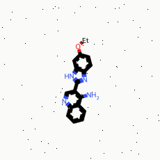 CCOc1ccc2nc(-c3cnc4ccccc4c3N)[nH]c2c1